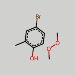 COOC.Cc1cc(Br)ccc1O